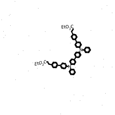 CCOC(=O)CCc1ccc(-c2ccc(N(c3ccccc3)c3ccc(-c4ccc(N(c5ccccc5)c5ccc(-c6ccc(CCC(=O)OCC)cc6)cc5)cc4)cc3)cc2)cc1